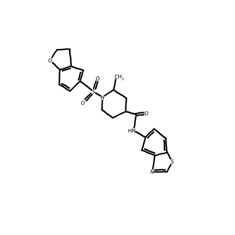 CC1CC(C(=O)Nc2ccc3scnc3c2)CCN1S(=O)(=O)c1ccc2c(c1)CCO2